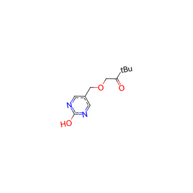 CC(C)(C)C(=O)COCc1cnc(O)nc1